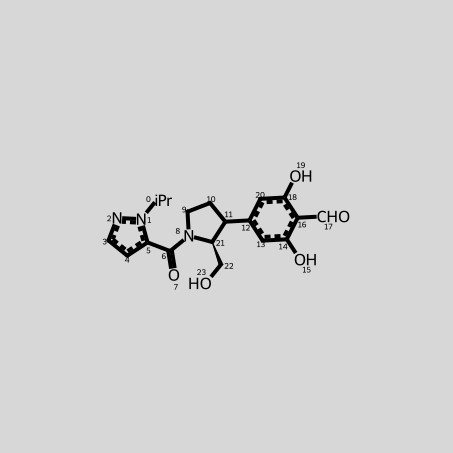 CC(C)n1nccc1C(=O)N1CCC(c2cc(O)c(C=O)c(O)c2)[C@H]1CO